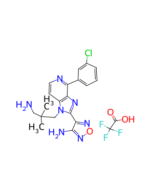 CC(C)(CN)Cn1c(-c2nonc2N)nc2c(-c3cccc(Cl)c3)nccc21.O=C(O)C(F)(F)F